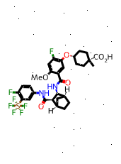 COc1cc(F)c(O[C@H]2CC[C@@](C)(C(=O)O)CC2)cc1C(=O)N[C@H]1[C@H]2CC[C@H](C2)[C@H]1C(=O)Nc1ccc(F)c(S(F)(F)(F)(F)F)c1